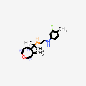 C=C1/C=C\O/C=C\C=C/1C(C)(C)PCCNc1ccc(C)c(F)c1